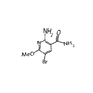 COc1nc(N)c(C(N)=O)cc1Br